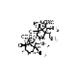 NCC1(CN)CCCC(Cl)(Cl)C1(CC(=O)[O-])CC(=O)[O-].NCC1(CN)CCCC(Cl)(Cl)C1(CC(=O)[O-])CC(=O)[O-].[Pt+4]